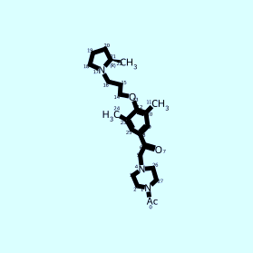 CC(=O)N1CCN(CC(=O)c2cc(C)c(OCCCN3CCC[C@H]3C)c(C)c2)CC1